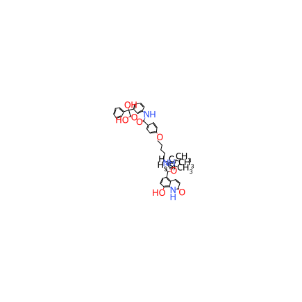 CC(C)(C)[Si](C)(C)OC(CNCCCCCOc1ccc(C(=O)Nc2cccc(C(O)(C(=O)O)c3ccccc3)c2)cc1)c1ccc(O)c2[nH]c(=O)ccc12